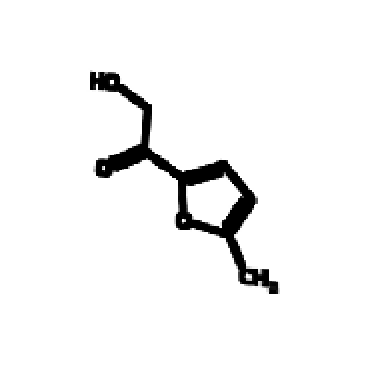 Cc1ccc(C(=O)CO)o1